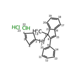 C[C]1([Hf][C]2=CC=CC2)C(c2ccccc2)=Cc2ccccc21.Cl.Cl